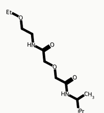 CCOCCNC(=O)COCC(=O)NC(C)C(C)C